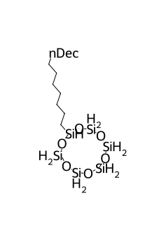 CCCCCCCCCCCCCCCCC[SiH]1O[SiH2]O[SiH2]O[SiH2]O[SiH2]O[SiH2]O1